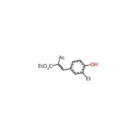 CCOC(=O)C(=Cc1ccc(O)c(CC)c1)C(C)=O